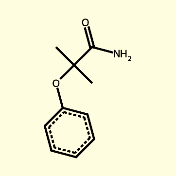 CC(C)(Oc1ccccc1)C(N)=O